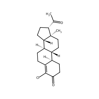 CC(=O)[C@H]1CC[C@H]2[C@@H]3CCC4=C(Cl)C(=O)CC[C@@H]4[C@H]3CC[C@]12C